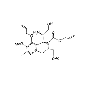 C=CCOC(=O)N1[C@H](COC(C)=O)Cc2cc(C)c(OC)c(OCC=C)c2[C@H]1[C@@H](N)CO